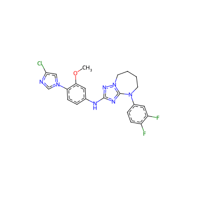 COc1cc(Nc2nc3n(n2)CCCCN3c2ccc(F)c(F)c2)ccc1-n1cnc(Cl)c1